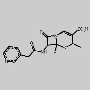 CC1S[C@@H]2C(NC(=O)Cc3cccnc3)C(=O)N2C=C1C(=O)O